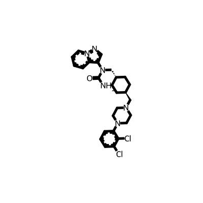 NC(=O)N(C[C@H]1CC[C@H](CN2CCN(c3cccc(Cl)c3Cl)CC2)CC1)c1cnn2ccccc12